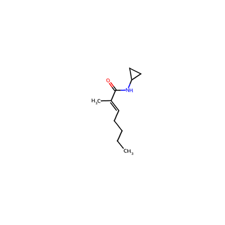 CCCCC=C(C)C(=O)NC1CC1